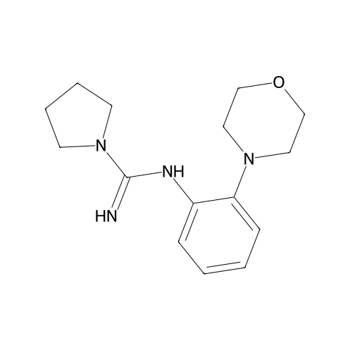 N=C(Nc1ccccc1N1CCOCC1)N1CCCC1